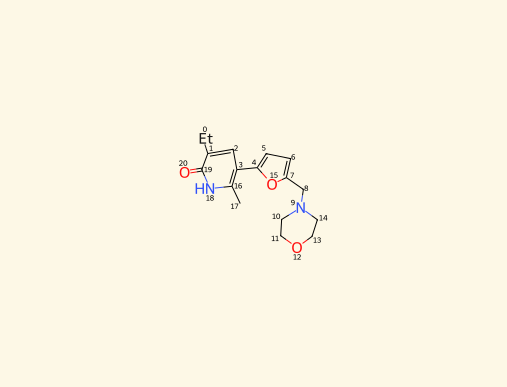 CCc1cc(-c2ccc(CN3CCOCC3)o2)c(C)[nH]c1=O